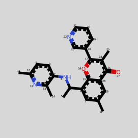 Cc1cc(C(C)Nc2ccc(C)nc2C)c2oc(-c3cccnc3)c(C)c(=O)c2c1